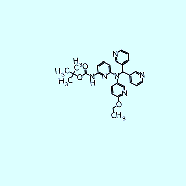 CCOc1ccc(N(c2cccc(NC(=O)OC(C)(C)C)n2)C(c2cccnc2)c2cccnc2)cn1